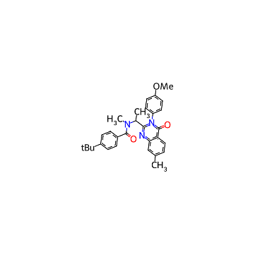 COc1ccc(-n2c(C(C)N(C)C(=O)c3ccc(C(C)(C)C)cc3)nc3cc(C)ccc3c2=O)cc1